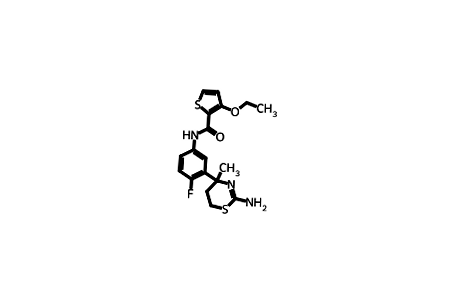 CCOc1ccsc1C(=O)Nc1ccc(F)c(C2(C)CCSC(N)=N2)c1